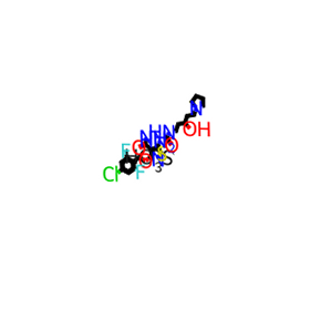 CS(=O)(=O)O.NC(=O)c1c(OCc2c(F)cc(Cl)cc2F)nsc1NC(=O)NCCC(O)CCN1CCCC1